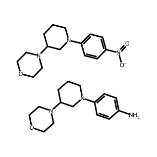 Nc1ccc(N2CCCC(N3CCOCC3)C2)cc1.O=[N+]([O-])c1ccc(N2CCCC(N3CCOCC3)C2)cc1